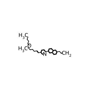 C=CCc1ccc2cc(-c3ccc(/C=C/CCCC(C)OCCCCC)cn3)ccc2c1